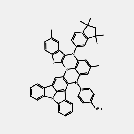 CCCCc1ccc(N2c3cc(C)cc4c3B(c3cc5c6ccccc6n6c7ccccc7c(c32)c56)c2sc3ccc(C)cc3c2N4c2ccc3c(c2)C(C)(C)CC3(C)C)cc1